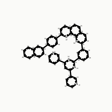 c1cncc(-c2cc(-c3cccnc3)nc(-c3cccc(-c4ccc5ccc6ccc(-c7ccc(-c8ccc9ccccc9c8)cc7)nc6c5n4)c3)n2)c1